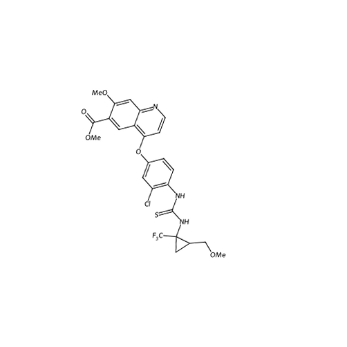 COCC1CC1(NC(=S)Nc1ccc(Oc2ccnc3cc(OC)c(C(=O)OC)cc23)cc1Cl)C(F)(F)F